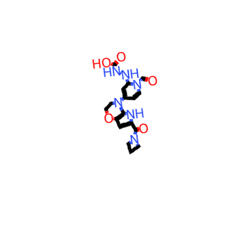 O=CN1C=CC(N2CCOc3cc(C(=O)N4CCC4)[nH]c32)=CC1NNC(=O)O